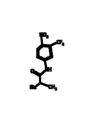 CCC(C)C(C)C(=O)Nc1ccc([N+](=O)[O-])c(C(F)(F)F)c1